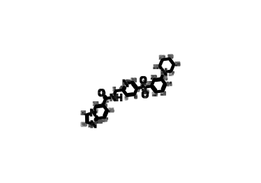 O=C(NCc1ccc(S(=O)(=O)c2cccc(N3CCCCC3)c2)cn1)c1ccc2nccn2c1